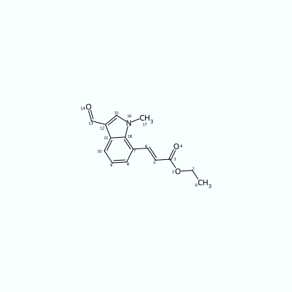 CCOC(=O)C=Cc1cccc2c(C=O)cn(C)c12